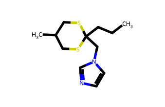 CCCC1(Cn2ccnc2)SCC(C)CS1